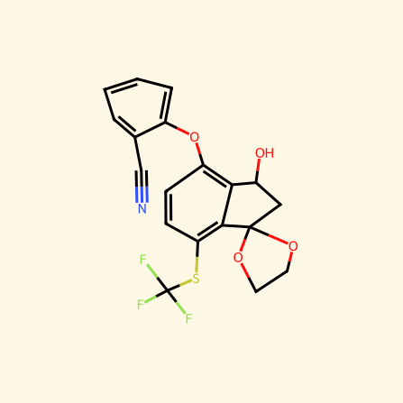 N#Cc1ccccc1Oc1ccc(SC(F)(F)F)c2c1C(O)CC21OCCO1